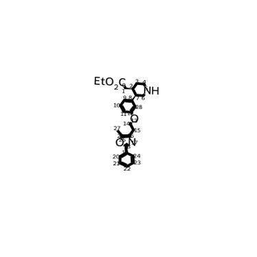 CCOC(=O)C[C@H]1CCNC[C@H]1c1cccc(OCCc2nc(-c3ccccc3)oc2C)c1